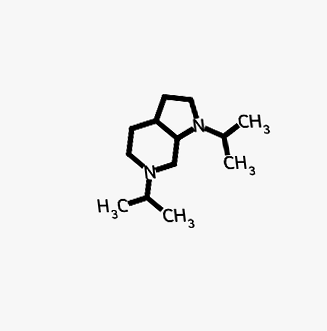 CC(C)N1CCC2CCN(C(C)C)C2C1